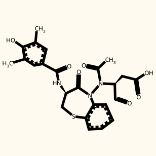 CC(=O)N([C@H](C=O)CC(=O)O)N1C(=O)[C@H](NC(=O)c2cc(C)c(O)c(C)c2)CSc2ccccc21